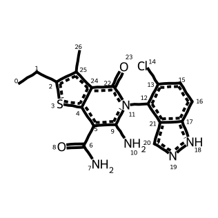 CCc1sc2c(C(N)=O)c(N)n(-c3c(Cl)ccc4[nH]ncc34)c(=O)c2c1C